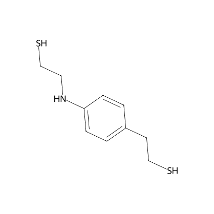 SCCNc1ccc(CCS)cc1